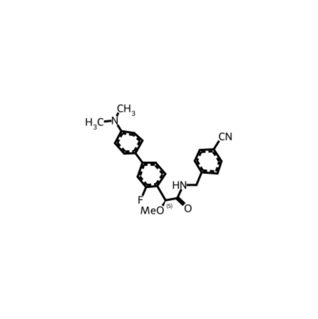 CO[C@H](C(=O)NCc1ccc(C#N)cc1)c1ccc(-c2ccc(N(C)C)cc2)cc1F